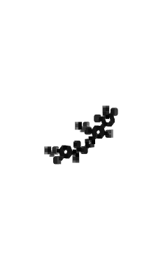 COc1cc(C2CCC(=O)NC2=O)c(Cl)cc1N1CC(OC(=O)Nc2ccc(C)c(Cl)c2)C1